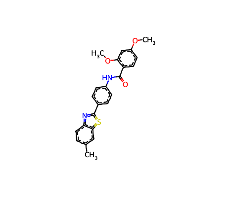 COc1ccc(C(=O)Nc2ccc(-c3nc4ccc(C)cc4s3)cc2)c(OC)c1